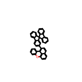 c1ccc2c(c1)Oc1cccc3ccc(-c4ccc5c(c4)C4(c6ccccc6-c6ccccc64)c4ccccc4-5)c-2c13